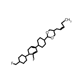 CC/C=C\CC1COC(C2CCC(C3=CCC(C4CCC(CF)CC4)C(F)=C3)CC2)OC1